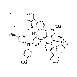 CC(C)(C)c1ccc(N(c2ccc(C(C)(C)C)cc2)c2ccc3c(c2)NC2c4sc5ccccc5c4C=CC2c2cc(C(C)(C)C)cc4c2B3c2ccc(C3CCCCC3)c3c2N4C(C)(C)C32CCCCC2)cc1